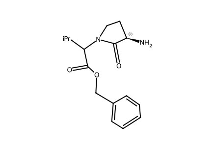 CC(C)C(C(=O)OCc1ccccc1)N1CC[C@@H](N)C1=O